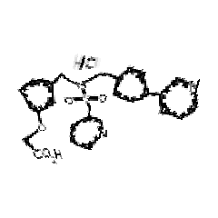 Cl.O=C(O)COc1cccc(CN(Cc2ccc(-c3cccnc3)cc2)S(=O)(=O)c2cccnc2)c1